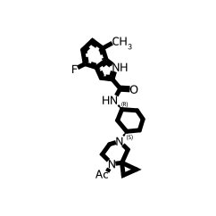 CC(=O)N1CCN([C@H]2CCC[C@@H](NC(=O)c3cc4c(F)ccc(C)c4[nH]3)C2)CC12CC2